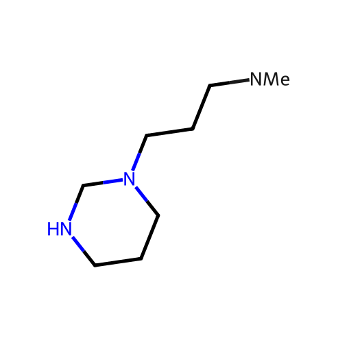 CNCCCN1CCCNC1